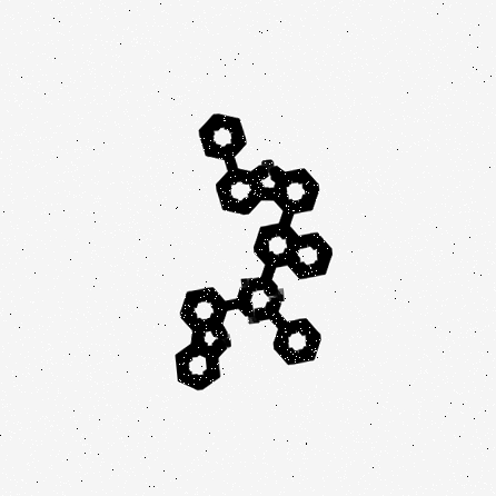 c1ccc(-c2nc(-c3ccc(-c4cccc5oc6c(-c7ccccc7)cccc6c45)c4ccccc34)nc(-c3cccc4c3sc3ccccc34)n2)cc1